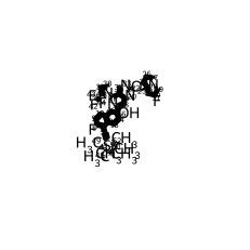 CC(C)[Si](C#Cc1c(F)ccc2c1C=CC(O)(c1cc3nc(OC[C@@]45CCCN4C[C@H](F)C5)ncc3c(N3CC[C@H]3C(F)(F)F)n1)C2)(C(C)C)C(C)C